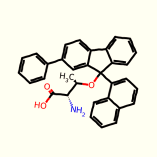 C[C@@H](OC1(c2cccc3ccccc23)c2ccccc2-c2ccc(-c3ccccc3)cc21)[C@H](N)C(=O)O